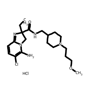 CCC1(C(=O)NCC2CCN(CCCOC)CC2)CN2C(=N1)C=CC(Cl)=C2N.Cl